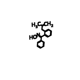 C=C(C)Cc1ccccc1C(=NO)c1ccccc1